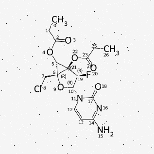 CCC(=O)OC1[C@@]2(CCl)O[C@@H](n3ccc(N)nc3=O)[C@H](F)[C@@]12OC(=O)CC